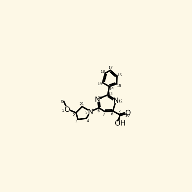 COC1CCN(c2cc(C(=O)O)nc(-c3ccccc3)n2)C1